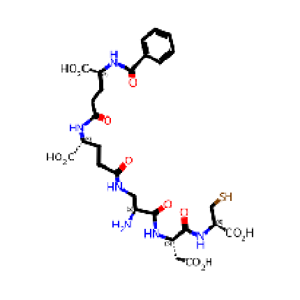 N[C@@H](CNC(=O)CC[C@@H](NC(=O)CC[C@H](NC(=O)c1ccccc1)C(=O)O)C(=O)O)C(=O)N[C@@H](CC(=O)O)C(=O)N[C@@H](CS)C(=O)O